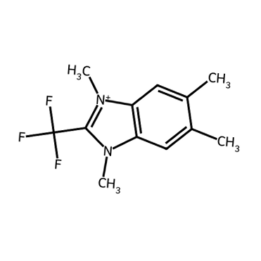 Cc1cc2c(cc1C)[n+](C)c(C(F)(F)F)n2C